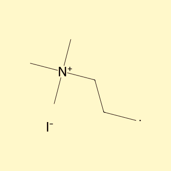 [CH2]CC[N+](C)(C)C.[I-]